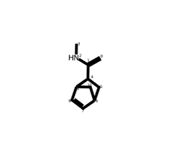 C=C(NC)C1CC2C=CC1C2